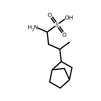 CC(CC(N)S(=O)(=O)O)C1CC2CCC1C2